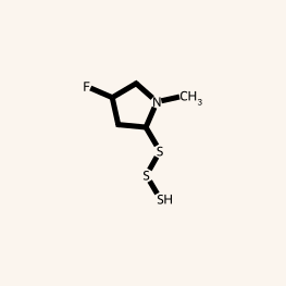 CN1CC(F)CC1SSS